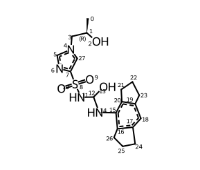 C[C@@H](O)Cn1cnc(S(=O)(=O)NC(O)Nc2c3c(cc4c2CCC4)CCC3)c1